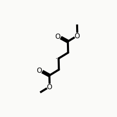 COC(=O)C[CH]CC(=O)OC